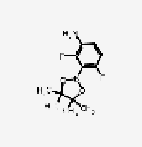 CC1(C)OB(c2c(F)ccc(N)c2F)OC1(C)C